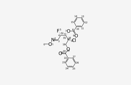 CON=C[C@H](F)[C@H](OC(=O)c1ccccc1)[C@H](Cl)COC(=O)c1ccccc1